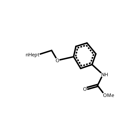 CCCCCCCCOc1cccc(NC(=O)OC)c1